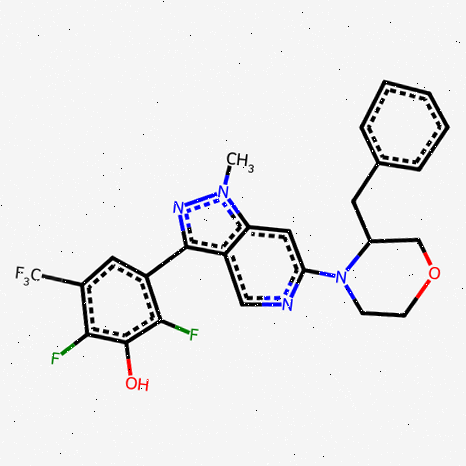 Cn1nc(-c2cc(C(F)(F)F)c(F)c(O)c2F)c2cnc(N3CCOCC3Cc3ccccc3)cc21